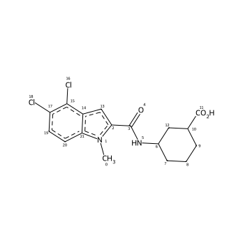 Cn1c(C(=O)NC2CCCC(C(=O)O)C2)cc2c(Cl)c(Cl)ccc21